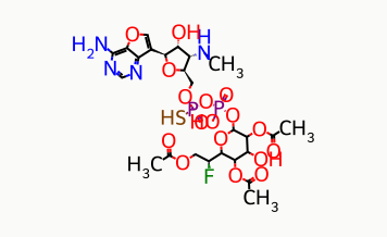 CN[C@H]1[C@@H](O)[C@H](c2coc3c(N)ncnc23)O[C@@H]1COP(=O)(S)OP(=O)(O)OC1OC([C@@H](F)COC(C)=O)C(OC(C)=O)C(O)C1OC(C)=O